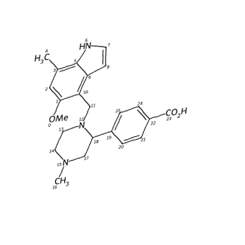 COc1cc(C)c2[nH]ccc2c1CN1CCN(C)CC1c1ccc(C(=O)O)cc1